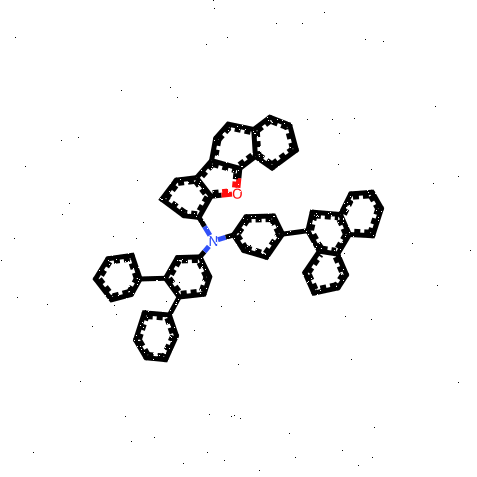 c1ccc(-c2ccc(N(c3ccc(-c4cc5ccccc5c5ccccc45)cc3)c3cccc4c3oc3c5ccccc5ccc43)cc2-c2ccccc2)cc1